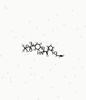 C#CCOC[C@@H]1CCC=C1C(=C)C(=N)O[C@H]1CC[C@H](N(C)C(=O)OC(C)(C)C)CC1